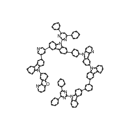 c1ccc(-c2cc(-c3ccccc3)nc(-n3c4ccccc4c4cc(-c5cccc(-c6ccc7c(c6)c6ccccc6n7-c6ccc7c(c6)c6ncccc6n7-c6ccc(-c7ccc8c9cc(-c%10cncc(-c%11ccc%12c(c%11)c%11ccccc%11n%12-c%11ccc%12oc%13cccnc%13c%12c%11)c%10)ccc9n(-c9nc(-c%10ccccc%10)cc(-c%10ccccc%10)n9)c8c7)cc6)c5)ccc43)n2)cc1